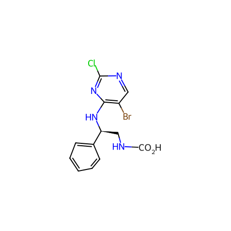 O=C(O)NC[C@H](Nc1nc(Cl)ncc1Br)c1ccccc1